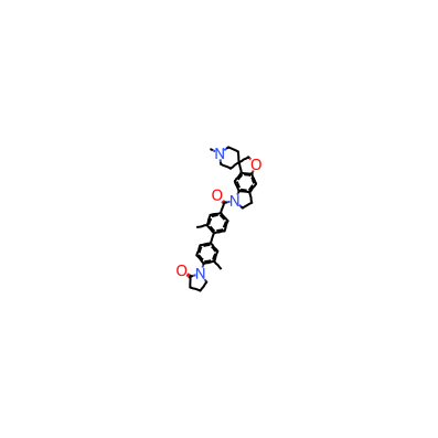 Cc1cc(C(=O)N2CCc3cc4c(cc32)C2(CCN(C)CC2)CO4)ccc1-c1ccc(N2CCCC2=O)c(C)c1